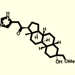 COC[C@@]1(O)CC[C@H]2[C@H](CC[C@@H]3[C@@H]2CC[C@]2(C)[C@@H](C(=O)Cc4cnc[nH]4)CC[C@@H]32)C1